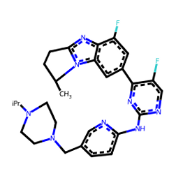 CC(C)N1CCN(Cc2ccc(Nc3ncc(F)c(-c4cc(F)c5nc6n(c5c4)C(C)CC6)n3)nc2)CC1